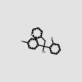 N#CC(Cc1cccnc1)(c1ccc(F)cc1)c1ccccc1Cl